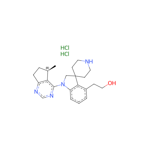 C[C@@H]1CCc2ncnc(N3CC4(CCNCC4)c4c(CCO)cccc43)c21.Cl.Cl